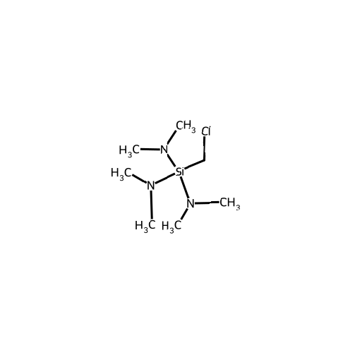 CN(C)[Si](CCl)(N(C)C)N(C)C